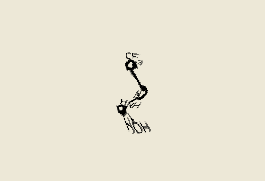 OC[C@@H]1[C@@H]2CC[C@@H](C2)[C@@H]1NCc1cccc(-c2ccc(C(F)(F)F)cc2)n1